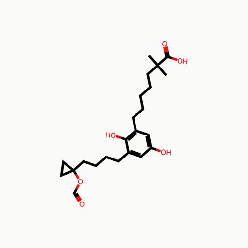 CC(C)(CCCCCc1cc(O)cc(CCCCC2(OC=O)CC2)c1O)C(=O)O